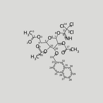 CC(=O)OCC1OC(OC(=N)C(Cl)(Cl)Cl)C(OC(C)=O)C(OCc2ccc3ccccc3c2)C1OC(C)=O